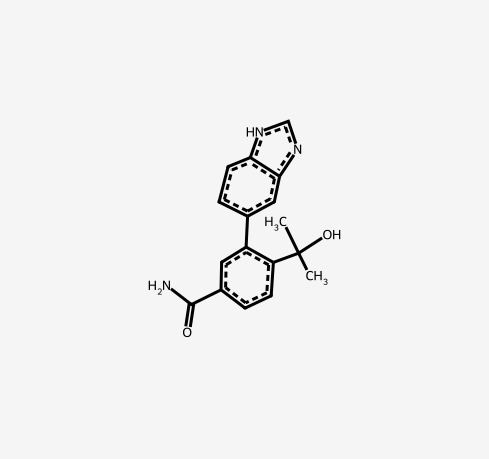 CC(C)(O)c1ccc(C(N)=O)cc1-c1ccc2[nH]cnc2c1